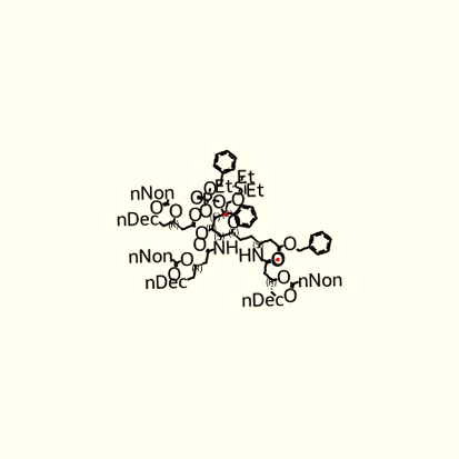 CCCCCCCCCCC[C@H](CC(=O)N[C@@H](CC[C@@H]1O[C@H](CO[Si](CC)(CC)CC)[C@@H](OP(=O)(OCc2ccccc2)OCc2ccccc2)[C@H](OC(=O)C[C@@H](CCCCCCCCCCC)OC(=O)CCCCCCCCC)[C@H]1NC(=O)C[C@@H](CCCCCCCCCCC)OC(=O)CCCCCCCCC)CC(=O)OCc1ccccc1)OC(=O)CCCCCCCCC